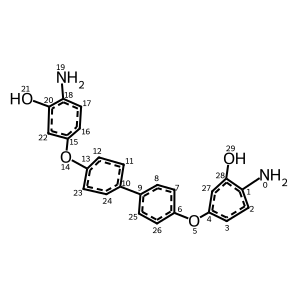 Nc1ccc(Oc2ccc(-c3ccc(Oc4ccc(N)c(O)c4)cc3)cc2)cc1O